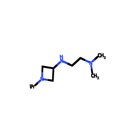 CC(C)N1CC(NCCN(C)C)C1